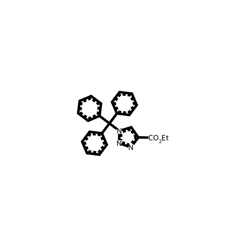 CCOC(=O)c1cn(C(c2ccccc2)(c2ccccc2)c2ccccc2)nn1